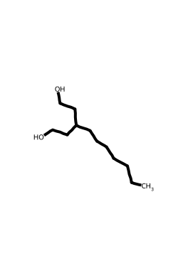 CCCCCCC[C](CCO)CCO